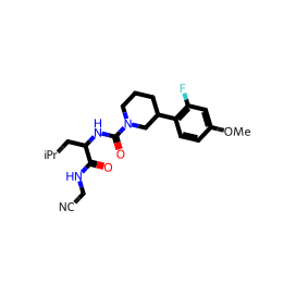 COc1ccc(C2CCCN(C(=O)NC(CC(C)C)C(=O)NCC#N)C2)c(F)c1